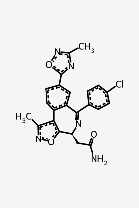 Cc1noc(-c2ccc3c(c2)C(c2ccc(Cl)cc2)=N[C@@H](CC(N)=O)c2onc(C)c2-3)n1